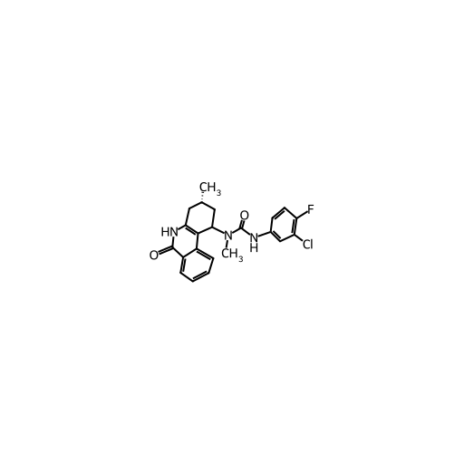 C[C@H]1Cc2[nH]c(=O)c3ccccc3c2C(N(C)C(=O)Nc2ccc(F)c(Cl)c2)C1